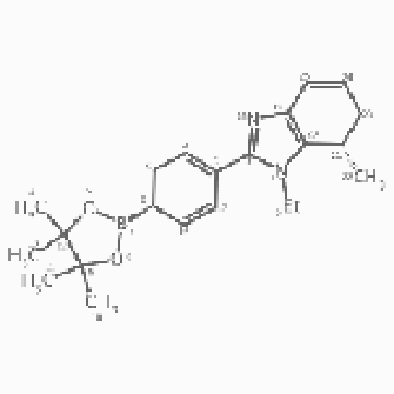 CCn1c(C2=CC[C@H](B3OC(C)(C)C(C)(C)O3)C=C2)nc2c1[C@@H](C)CC=C2